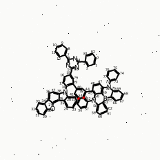 c1ccc(-c2nc(-c3ccccc3)nc(-c3ccc(-n4c5ccccc5c5c6oc7ccccc7c6ccc54)c(-c4cccc(-c5ccc6c7c5N(c5ccccc5)c5ccccc5B7c5ccccc5N6c5ccccc5)c4)c3)n2)cc1